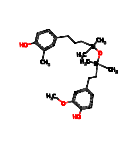 COc1cc(CC[Si](C)(C)O[Si](C)(C)CCCc2ccc(O)c(C)c2)ccc1O